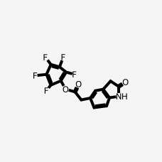 O=C1Cc2cc(CC(=O)Oc3c(F)c(F)c(F)c(F)c3F)ccc2N1